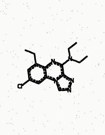 CCc1cc(Cl)cc2c1nc(N(CC)CC)c1nncn12